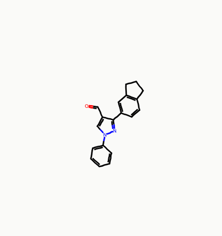 O=Cc1cn(-c2ccccc2)nc1-c1ccc2c(c1)CCC2